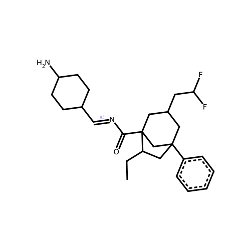 CCC1CC2(c3ccccc3)CC(CC(F)F)CC1(C(=O)/N=C/C1CCC(N)CC1)C2